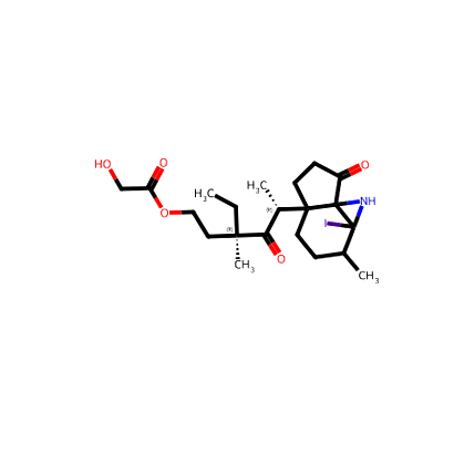 CC[C@](C)(CCOC(=O)CO)C(=O)[C@H](C)C12CCC(=O)C13NC3(I)C(C)CC2